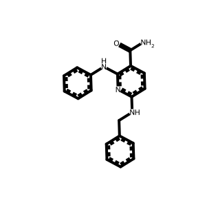 NC(=O)c1ccc(NCc2ccccc2)nc1Nc1ccccc1